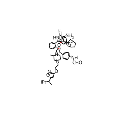 CC(C)C(C)c1cc(OCCN2CCN(CCOc3cc(N4C5CCC4CN(C4=C(N)NNC(c6ccccc6OCc6ccc(NC=O)cc6)=C4)C5)ccn3)C(C)C2)no1